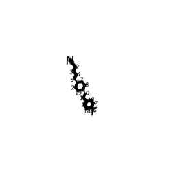 N#CC=CC=C[C@H]1CC[C@H](CCc2ccc(F)cc2)CC1